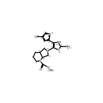 CC(C)(C)OC(=O)N1CCCC2CN(C3=C(c4cc(Cl)cs4)NC(N)S3)CC21